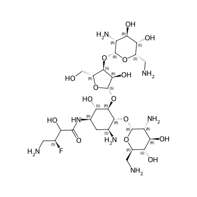 NC[C@@H]1O[C@H](O[C@H]2[C@@H](O)[C@H](O[C@@H]3[C@@H](O)[C@H](NC(=O)C(O)[C@@H](F)CN)C[C@H](N)[C@H]3O[C@H]3O[C@H](CN)[C@@H](O)[C@H](O)[C@H]3N)O[C@@H]2CO)[C@H](N)[C@@H](O)[C@@H]1O